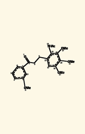 COc1cccc(C(=O)CCc2cc(OC)c(OC)c(OC)c2NC(C)=O)c1